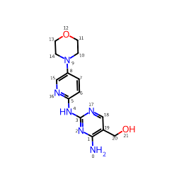 Nc1nc(Nc2ccc(N3CCOCC3)cn2)ncc1CO